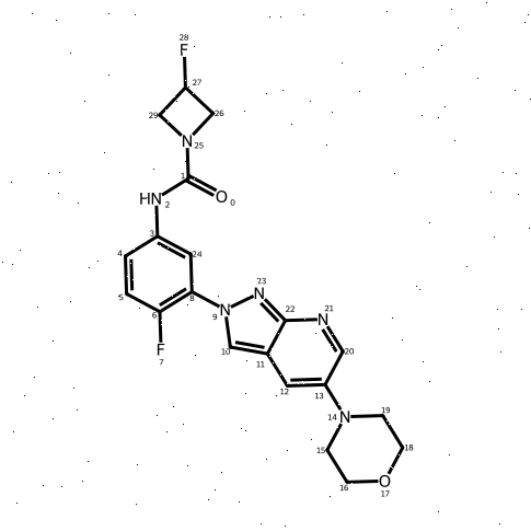 O=C(Nc1ccc(F)c(-n2cc3cc(N4CCOCC4)cnc3n2)c1)N1CC(F)C1